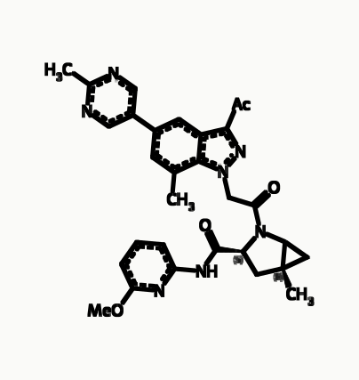 COc1cccc(NC(=O)[C@@H]2C[C@@]3(C)CC3N2C(=O)Cn2nc(C(C)=O)c3cc(-c4cnc(C)nc4)cc(C)c32)n1